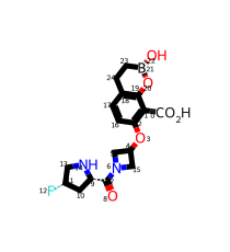 O=C(O)c1c(OC2CN(C(=O)[C@@H]3C[C@H](F)CN3)C2)ccc2c1OB(O)CC2